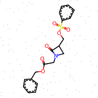 O=C(CN1CC(COS(=O)(=O)c2ccccc2)C1=O)OCc1ccccc1